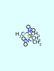 C=C/C=C(\c1sc(/C(=C\C=C)n2c3ccccc3c3ccccc32)c(C)c1C)n1c2ccccc2c2ccccc21